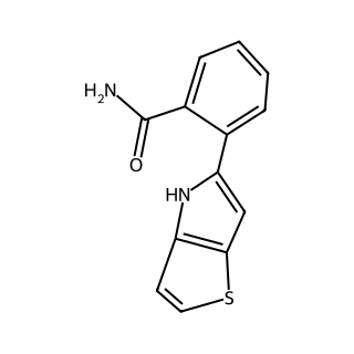 NC(=O)c1ccccc1-c1cc2sccc2[nH]1